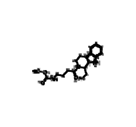 CC(C)CC1c2[nH]c3ccccc3c2CCN1C(=O)CCCNC(=O)OC(C)(C)C